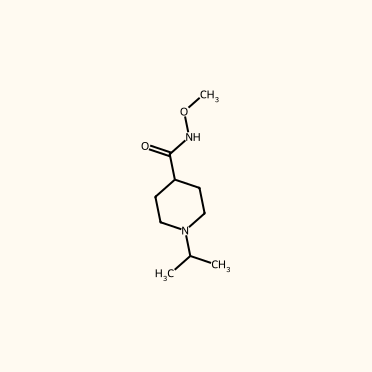 CONC(=O)C1CCN(C(C)C)CC1